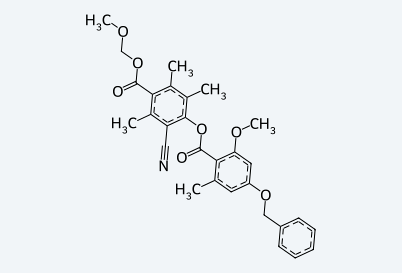 COCOC(=O)c1c(C)c(C)c(OC(=O)c2c(C)cc(OCc3ccccc3)cc2OC)c(C#N)c1C